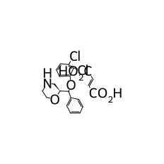 Clc1cccc(O[C@@H](c2ccccc2)[C@@H]2CNCCO2)c1Cl.O=C(O)/C=C/C(=O)O